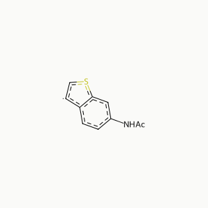 CC(=O)Nc1ccc2[c]csc2c1